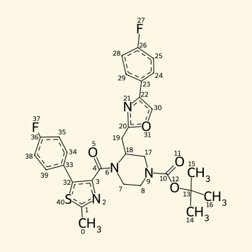 Cc1nc(C(=O)N2CCN(C(=O)OC(C)(C)C)CC2Cc2nc(-c3ccc(F)cc3)co2)c(-c2ccc(F)cc2)s1